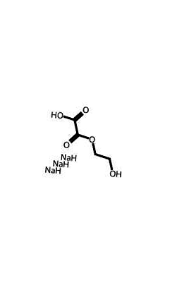 O=C(O)C(=O)OCCO.[NaH].[NaH].[NaH]